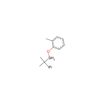 Cc1cc[c]cc1O[SiH2]C(C)(C)C(C)C